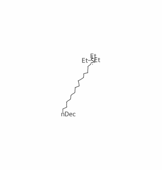 CCCCCCCCCCCCCCCCCCCCCCC[CH][Si](CC)(CC)CC